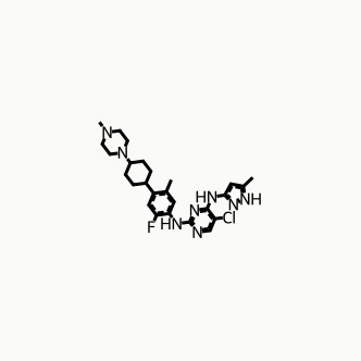 Cc1cc(Nc2nc(Nc3cc(C)c(C4CCC(N5CCN(C)CC5)CC4)cc3F)ncc2Cl)n[nH]1